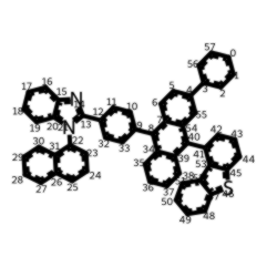 c1ccc(-c2ccc3c(-c4ccc(-c5nc6ccccc6n5-c5cccc6ccccc56)cc4)c4ccccc4c(-c4cccc5sc6ccccc6c45)c3c2)cc1